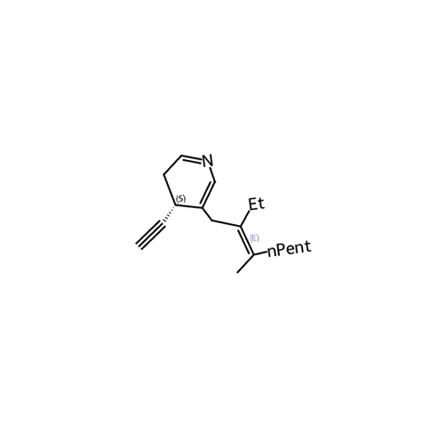 C#C[C@@H]1CC=NC=C1C/C(CC)=C(\C)CCCCC